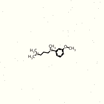 COc1[c]ccc(N(C)CCCN(C)C)c1